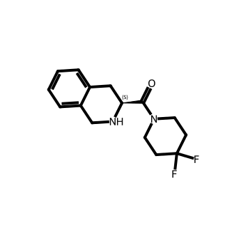 O=C([C@@H]1Cc2ccccc2CN1)N1CCC(F)(F)CC1